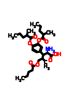 CCCCC(=O)OCC(C)C(c1ccc(OC(=O)C(C)CCC)c(OC(=O)C(C)CCC)c1)[C@H](N)C(=O)O